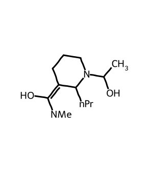 CCCC1/C(=C(/O)NC)CCCN1C(C)O